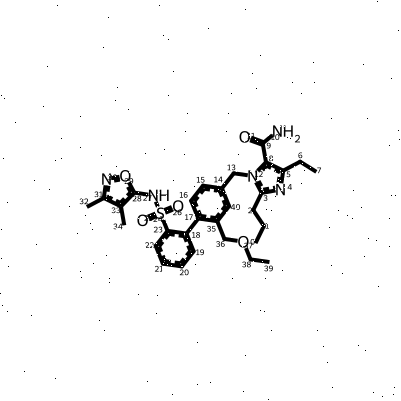 CCCc1nc(CC)c(C(N)=O)n1Cc1ccc(-c2ccccc2S(=O)(=O)Nc2onc(C)c2C)c(COCC)c1